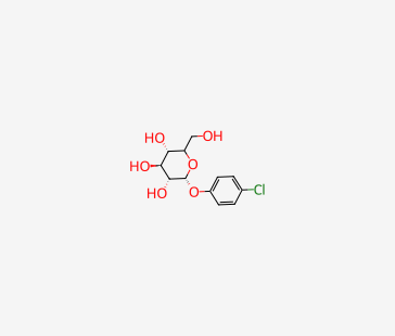 OCC1O[C@H](Oc2ccc(Cl)cc2)[C@H](O)[C@@H](O)[C@@H]1O